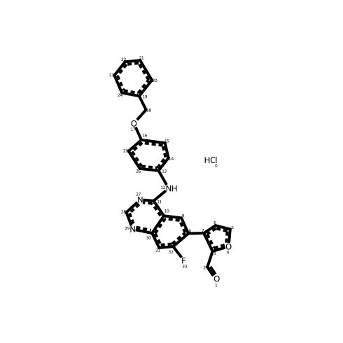 Cl.O=Cc1occc1-c1cc2c(Nc3ccc(OCc4ccccc4)cc3)ncnc2cc1F